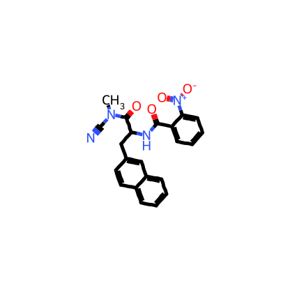 CN(C#N)C(=O)C(Cc1ccc2ccccc2c1)NC(=O)c1ccccc1[N+](=O)[O-]